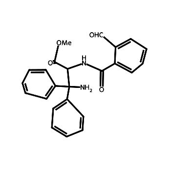 COC(=O)C(NC(=O)c1ccccc1C=O)C(N)(c1ccccc1)c1ccccc1